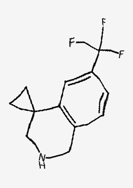 FC(F)(F)c1ccc2c(c1)C1(CC1)CNC2